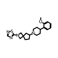 COc1ccccc1C1CCN(C2CCC3(C2)CN(c2ncns2)C3)CC1